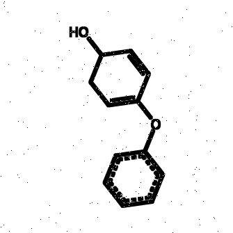 OC1C=CC(Oc2ccccc2)=CC1